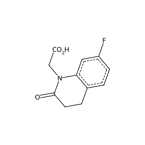 O=C(O)CN1C(=O)CCc2ccc(F)cc21